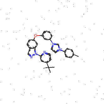 Cc1ccc(-[n+]2ccn(-c3cccc(Oc4ccc5cnn(-c6cc(C(C)(C)C)ccn6)c5c4)c3)c2)cc1